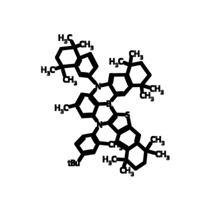 Cc1cc2c3c(c1)N(c1ccc(C(C)(C)C)cc1C)c1c(sc4cc5c(cc14)C(C)(C)CCC5(C)C)B3c1cc3c(cc1N2c1ccc2c(c1)C(C)(C)CCC2(C)C)C(C)(C)CCC3(C)C